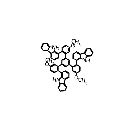 COc1ccc(-c2cccc3c2[nH]c2ccccc23)c(-c2cc(-c3cc(OC)ccc3-c3cccc4c3[nH]c3ccccc34)cc(-c3cc(OC)ccc3-c3cccc4c3[nH]c3ccccc34)c2)c1